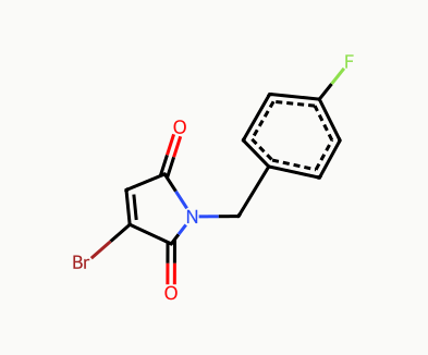 O=C1C=C(Br)C(=O)N1Cc1ccc(F)cc1